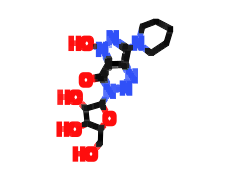 O=c1c2c(nnn1C1OC(CO)C(O)C1O)c(N1CCCCC1)nn2O